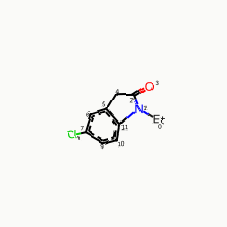 CCN1C(=O)Cc2cc(Cl)ccc21